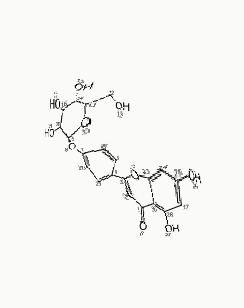 O=c1cc(-c2ccc(O[C@@H]3OC(CO)[C@@H](O)C(O)C3O)cc2)oc2cc(O)cc(O)c12